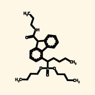 CCCCOP(=O)(OCCCC)C(CCCC)c1cccc2c1-c1ccccc1C2C(=O)NCCC